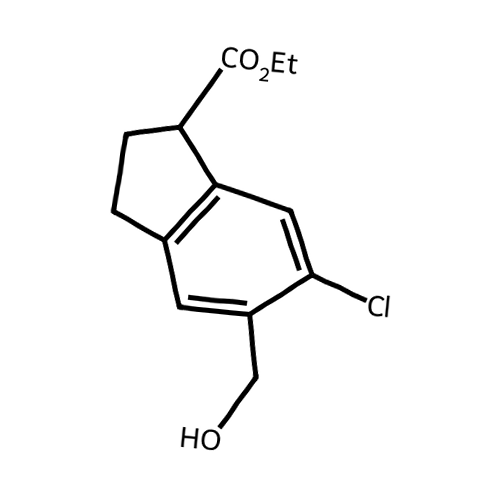 CCOC(=O)C1CCc2cc(CO)c(Cl)cc21